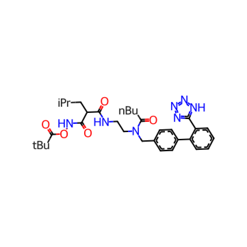 CCCCC(=O)N(CCNC(=O)C(CC(C)C)C(=O)NOC(=O)C(C)(C)C)Cc1ccc(-c2ccccc2-c2nnn[nH]2)cc1